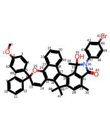 COc1ccc(C2(c3ccccc3)C=Cc3c4c(c5ccccc5c3O2)-c2c(cc(C)c3c2C(C)(O)N(c2ccc(Br)cc2)C3=O)C4(C)C)cc1